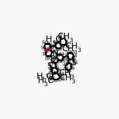 CC1(C)CCC(C)(C)c2cc(N3c4ccccc4B4c5sc6cc7c(cc6c5-c5cc(-c6cccc8sc9ccccc9c68)cc3c54)C(C)(C)CCC7(C)C)c(-c3ccccc3)cc21